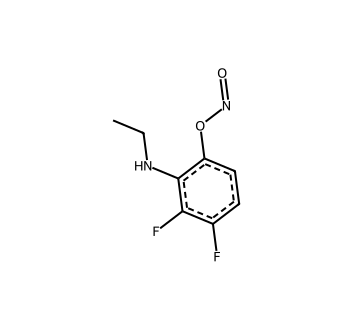 CCNc1c(ON=O)ccc(F)c1F